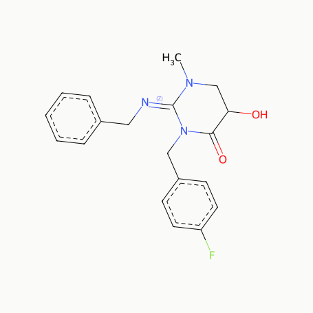 CN1CC(O)C(=O)N(Cc2ccc(F)cc2)/C1=N\Cc1ccccc1